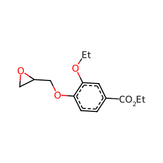 CCOC(=O)c1ccc(OCC2CO2)c(OCC)c1